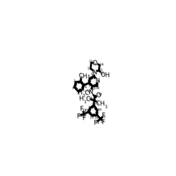 Cc1ccccc1-c1cc(N2CCOCC2O)ncc1N(C)C(=O)C(C)(C)c1cc(C(F)(F)F)cc(C(F)(F)F)c1